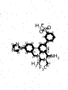 CS(=O)(=O)c1cccc(-c2ccc3c(n2)C(N)N(CC(F)(F)F)C(N)N3Cc2cccc(-n3cncn3)c2)c1